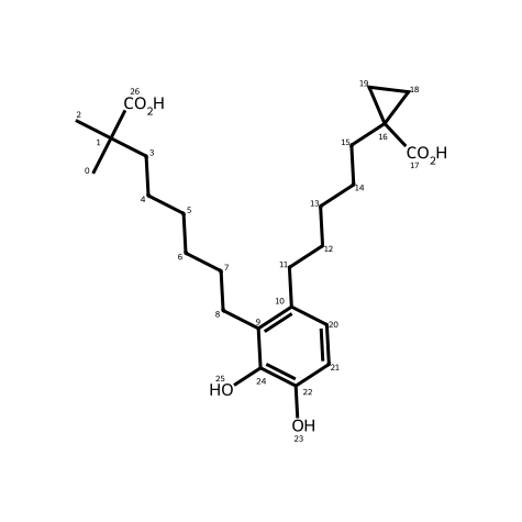 CC(C)(CCCCCCc1c(CCCCCC2(C(=O)O)CC2)ccc(O)c1O)C(=O)O